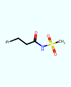 CC(C)CCC(=O)NS(C)(=O)=O